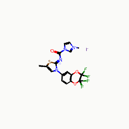 Cc1cn(-c2ccc3c(c2)OC(F)(F)C(F)(F)O3)/c(=N/C(=O)n2cc[n+](C)c2)s1.[I-]